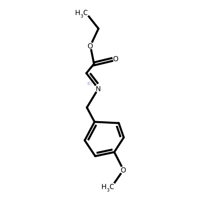 CCOC(=O)/C=N/Cc1ccc(OC)cc1